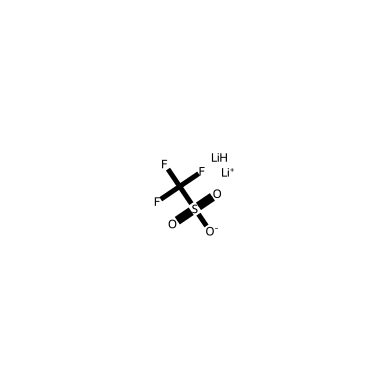 O=S(=O)([O-])C(F)(F)F.[Li+].[LiH]